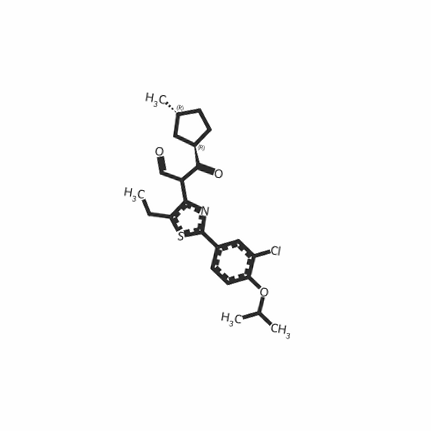 CCc1sc(-c2ccc(OC(C)C)c(Cl)c2)nc1C(C=O)C(=O)[C@@H]1CC[C@@H](C)C1